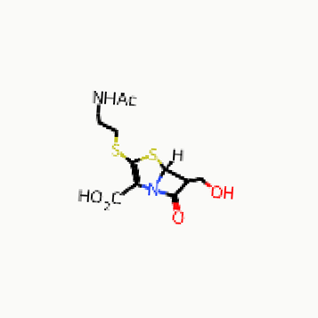 CC(=O)NCCSC1=C(C(=O)O)N2C(=O)C(CO)[C@H]2S1